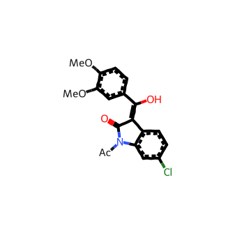 COc1ccc(C(O)=C2C(=O)N(C(C)=O)c3cc(Cl)ccc32)cc1OC